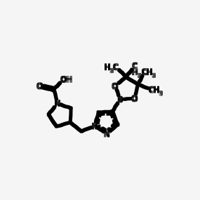 CC1(C)OB(c2cnn(CC3CCN(C(=O)O)C3)c2)OC1(C)C